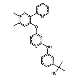 Cc1cc(Oc2ccnc(Nc3cccc(C(C)(C)C#N)c3)c2)c(-c2ccccn2)nc1C